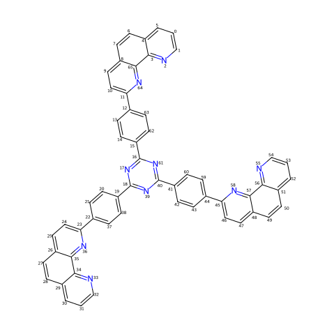 c1cnc2c(c1)ccc1ccc(-c3ccc(-c4nc(-c5ccc(-c6ccc7ccc8cccnc8c7n6)cc5)nc(-c5ccc(-c6ccc7ccc8cccnc8c7n6)cc5)n4)cc3)nc12